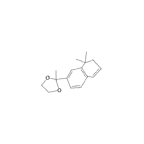 CC1(C)CC=Cc2ccc(C3(C)OCCO3)cc21